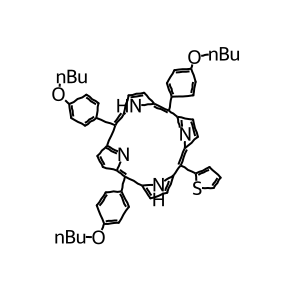 CCCCOc1ccc(-c2c3nc(c(-c4ccc(OCCCC)cc4)c4ccc([nH]4)c(-c4cccs4)c4nc(c(-c5ccc(OCCCC)cc5)c5ccc2[nH]5)C=C4)C=C3)cc1